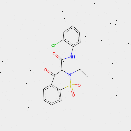 CCN1C(C(=O)Nc2ccccc2Cl)C(=O)c2ccccc2S1(=O)=O